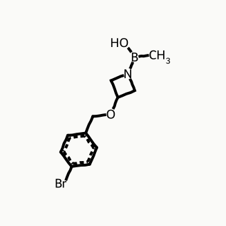 CB(O)N1CC(OCc2ccc(Br)cc2)C1